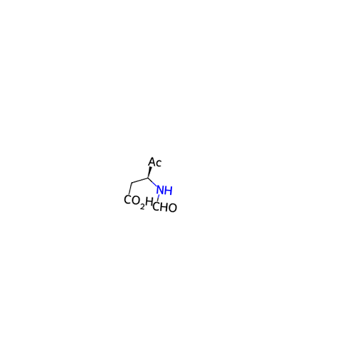 CC(=O)[C@H](CC(=O)O)NC=O